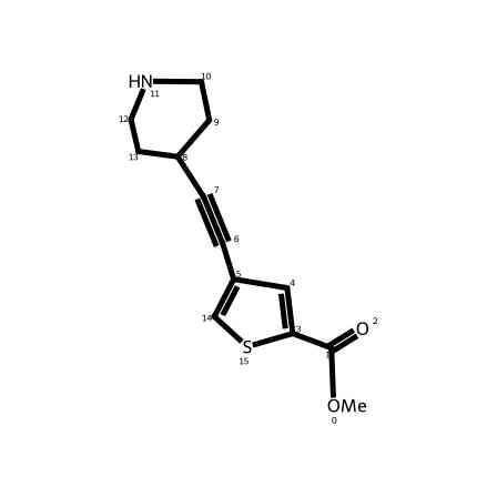 COC(=O)c1cc(C#CC2CCNCC2)cs1